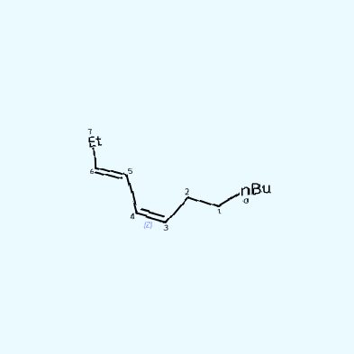 [CH2]CCCCC/C=C\C=CCC